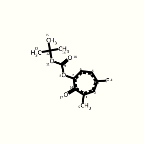 Cc1cc(F)ccc(OC(=O)OC(C)(C)C)c1=O